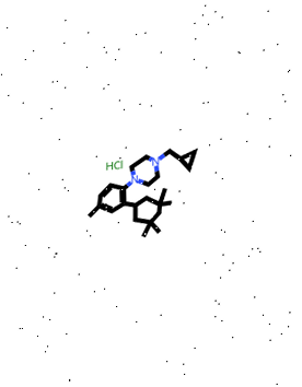 Cc1ccc(N2CCN(CC3CC3)CC2)c(C2CC(C)(C)CC(C)(C)C2)c1.Cl